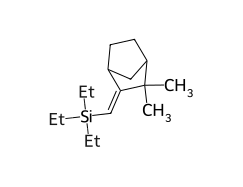 CC[Si](C=C1C2CCC(C2)C1(C)C)(CC)CC